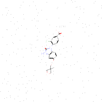 CC1(COc2ccc3c(c2)[nH]c(=O)n3-c2ccc(C(=O)OC(C)(C)C)cc2F)COC1